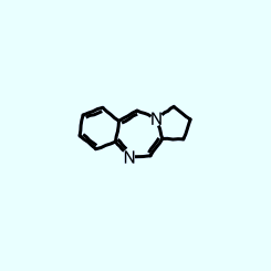 C1=C2CCCN2C=c2ccccc2=N1